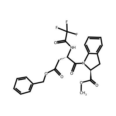 COC(=O)[C@@H]1Cc2ccccc2N1C(=O)[C@H](CC(=O)OCc1ccccc1)NC(=O)C(F)(F)F